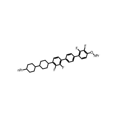 CCCOc1ccc(-c2ccc(-c3ccc(C4CCC(C5CCC(CCC)CC5)CC4)c(F)c3F)cc2)c(F)c1F